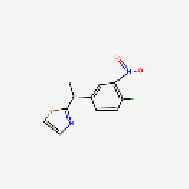 CC(c1ccc(F)c([N+](=O)[O-])c1)c1nccs1